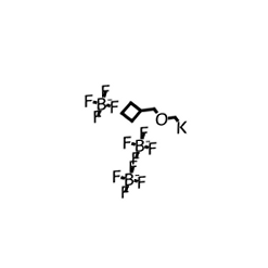 F[B-](F)(F)F.F[B-](F)(F)F.F[B-](F)(F)F.[K][CH2]OCC1CCC1